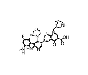 CNc1cc(F)c(F)c2c1[nH]c1ncc(-c3cnc4c(c3)c(=O)c(C(=O)O)cn4CC3CNCCO3)c(N3CCOCC3)c12